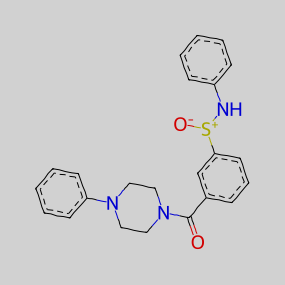 O=C(c1cccc([S+]([O-])Nc2ccccc2)c1)N1CCN(c2ccccc2)CC1